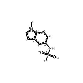 Cn1ccc2cc(NS(C)(=O)=O)ccc21